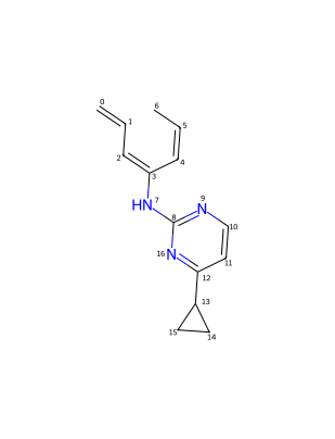 C=C/C=C(\C=C/C)Nc1nccc(C2CC2)n1